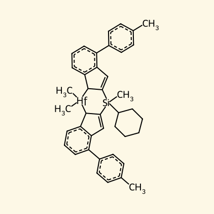 Cc1ccc(-c2cccc3c2C=C2[CH]3[Hf]([CH3])([CH3])[CH]3C(=Cc4c(-c5ccc(C)cc5)cccc43)[Si]2(C)C2CCCCC2)cc1